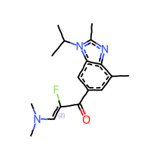 Cc1cc(C(=O)/C(F)=C/N(C)C)cc2c1nc(C)n2C(C)C